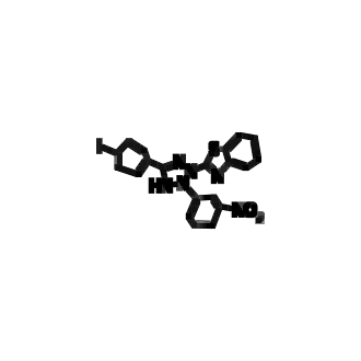 O=[N+]([O-])c1cccc(N2NC(c3ccc(I)cc3)=NN2c2nc3ccccc3s2)c1